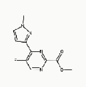 COC(=O)c1ncc(F)c(-c2ccn(C)n2)n1